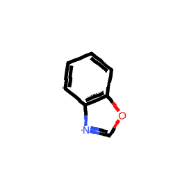 [c]1cccc2c1[N+]=CO2